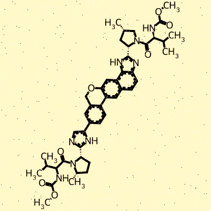 COC(=O)NC(C(=O)N1[C@@H](C)CC[C@H]1c1ncc(-c2ccc3c(c2)COc2cc4c(ccc5nc([C@@H]6C[C@H](C)CN6C(=O)[C@@H](NC(=O)OC)C(C)C)[nH]c54)cc2-3)[nH]1)C(C)C